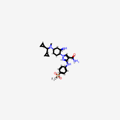 CN(C(C1CC1)C1CC1)[C@@H]1CC[C@H](n2cc(C(N)=O)c(Nc3ccc(S(=O)(=O)C(F)(F)F)cc3)n2)C(=N)C1